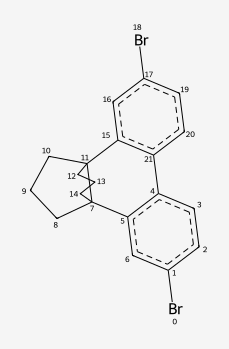 Brc1ccc2c(c1)C13CCCC1(CCC3)c1cc(Br)ccc1-2